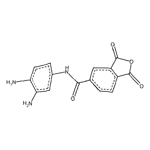 Nc1ccc(NC(=O)c2ccc3c(c2)C(=O)OC3=O)cc1N